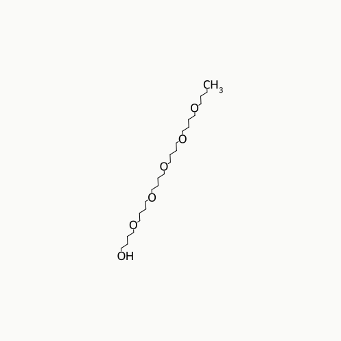 CCCCOCCCCOCCCCOCCCCOCCCCOCCCCO